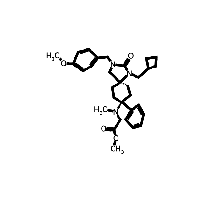 COC(=O)CN(C)[C@]1(c2ccccc2)CC[C@]2(CC1)CN(Cc1ccc(OC)cc1)C(=O)N2CC1CCC1